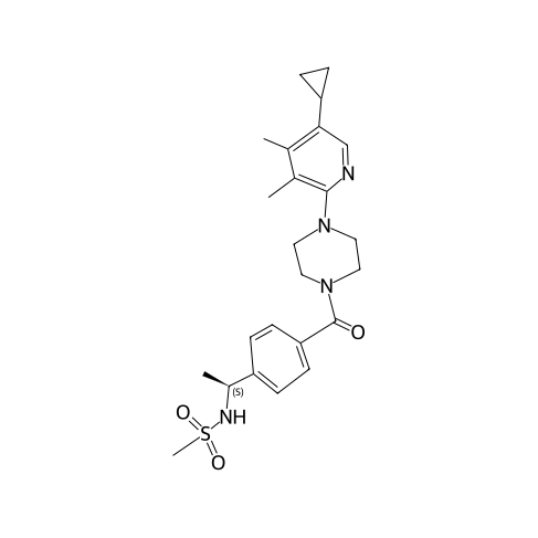 Cc1c(C2CC2)cnc(N2CCN(C(=O)c3ccc([C@H](C)NS(C)(=O)=O)cc3)CC2)c1C